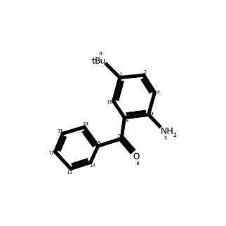 CC(C)(C)c1ccc(N)c(C(=O)c2ccccc2)c1